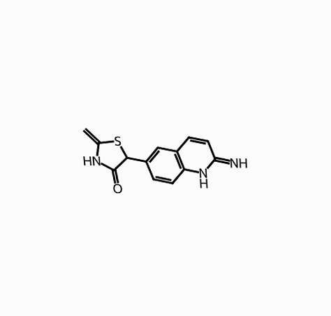 C=C1NC(=O)C(c2ccc3[nH]c(=N)ccc3c2)S1